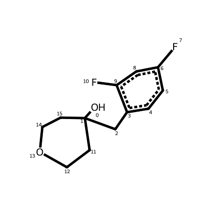 OC1(Cc2ccc(F)cc2F)CCOCC1